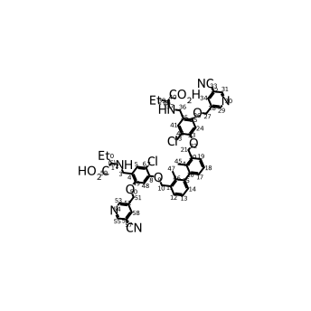 CC[C@H](NCc1cc(Cl)c(OCc2cccc(-c3cccc(COc4cc(OCc5cncc(C#N)c5)c(CN[C@@H](CC)C(=O)O)cc4Cl)c3C)c2C)cc1OCc1cncc(C#N)c1)C(=O)O